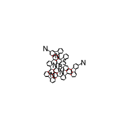 N#Cc1ccc2c(c1)-c1ccccc1C2c1ccc2c(c1)N(c1c(-c3ccccc3)cccc1-c1ccccc1)c1cc(-n3c4ccccc4c4ccccc43)cc3c1B2c1c(cc(-n2c4ccccc4c4cc(C#N)ccc42)c2c1sc1ccccc12)N3c1c(-c2ccccc2)cccc1-c1ccccc1